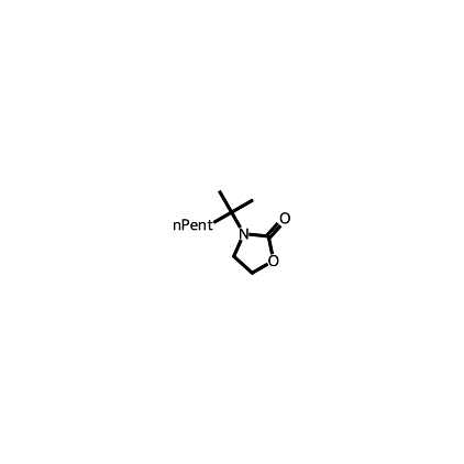 CCCCCC(C)(C)N1CCOC1=O